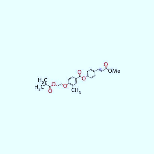 C=C(C)C(=O)OCCOc1ccc(C(=O)Oc2ccc(/C=C/C(=O)OC)cc2)cc1C